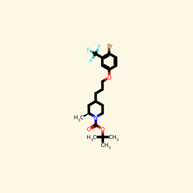 C[C@H]1CC(CCCOc2ccc(Br)c(C(F)(F)F)c2)CCN1C(=O)OC(C)(C)C